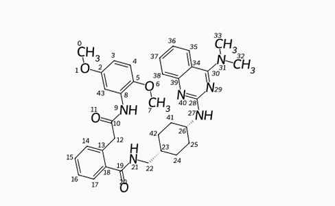 COc1ccc(OC)c(NC(=O)Cc2ccccc2C(=O)NC[C@H]2CC[C@@H](Nc3nc(N(C)C)c4ccccc4n3)CC2)c1